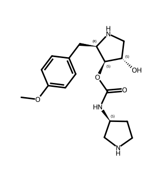 COc1ccc(C[C@H]2NC[C@H](O)[C@H]2OC(=O)N[C@H]2CCNC2)cc1